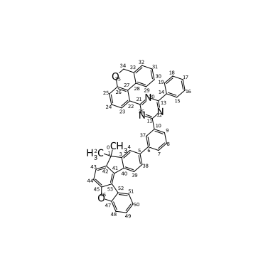 CC1(C)c2cc(-c3cccc(-c4nc(-c5ccccc5)nc(-c5cccc6c5-c5ccccc5CO6)n4)c3)ccc2-c2c1ccc1oc3ccccc3c21